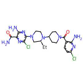 CC[C@H]1CN(c2nc(N)c(C(N)=O)nc2Cl)CCN1C1CCN(C(=O)c2ccc(Cl)nc2N)CC1